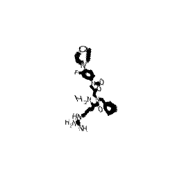 N=C(N)NCCCC(N)C(=O)N(Cc1ccccc1)CC1CN(c2ccc(N3CCOCC3)c(F)c2)C(=O)O1